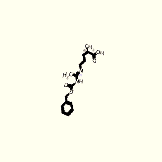 C/C(=N\CCC[C@@H](C)C(=O)O)NC(=O)OCc1ccccc1